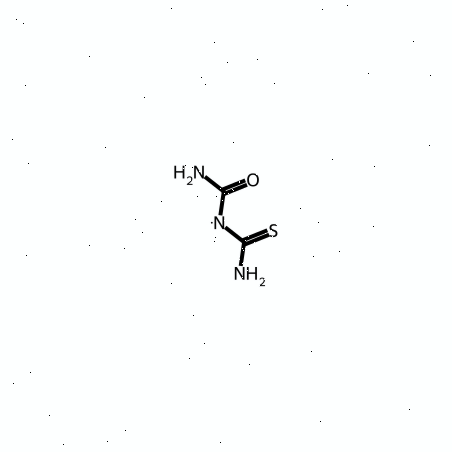 NC(=O)[N]C(N)=S